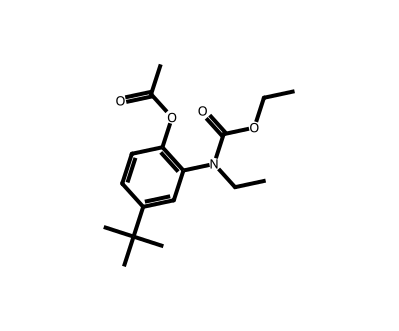 CCOC(=O)N(CC)c1cc(C(C)(C)C)ccc1OC(C)=O